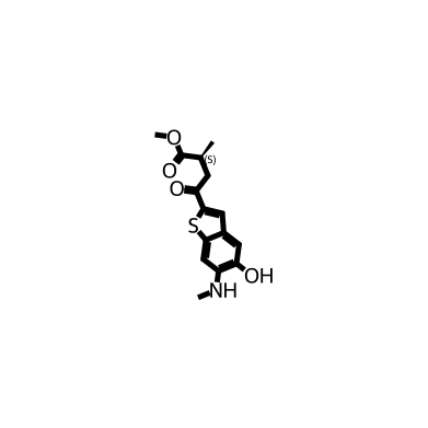 CNc1cc2sc(C(=O)C[C@H](C)C(=O)OC)cc2cc1O